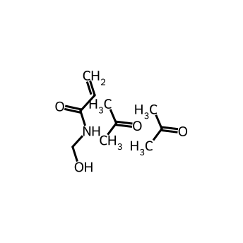 C=CC(=O)NCO.CC(C)=O.CC(C)=O